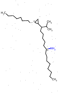 CCCCCCCC[C@H](N)CCCCCC(C(C)C)C1C[C@H]1CCCCCCCC